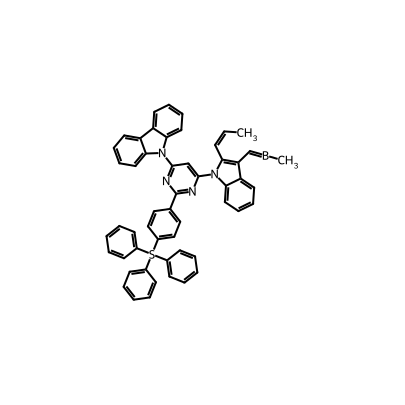 C/B=C\c1c(/C=C\C)n(-c2cc(-n3c4ccccc4c4ccccc43)nc(-c3ccc(S(c4ccccc4)(c4ccccc4)c4ccccc4)cc3)n2)c2ccccc12